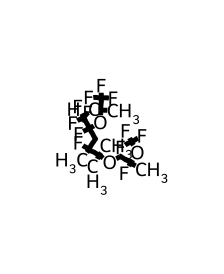 CC(F)(COC(C)(C)C(C)(F)CC(F)(OC(C)(C)C(F)(F)F)C(F)(F)F)OC(F)(F)F